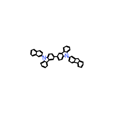 c1ccc2c(c1)Cc1cc(-n3c4ccccc4c4cc(-c5ccc6c(c5)c5ccccc5n6-c5ccc6ccccc6c5)ccc43)ccc1-2